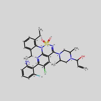 C=CC(O)N1CC(C)N(C2=NS(=O)(=O)N(c3c(CC)cccc3CC)c3nc(-c4c(N)cccc4F)c(Cl)cc32)CC1C